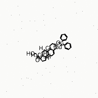 CC(C)(C)[Si](O[C@H]1CC[C@@]2(C)C(=CC[C@@H]3[C@@H]2CC[C@@]2(C)[C@H]3CC[C@]23O[C@H]3CO)C1)(c1ccccc1)c1ccccc1